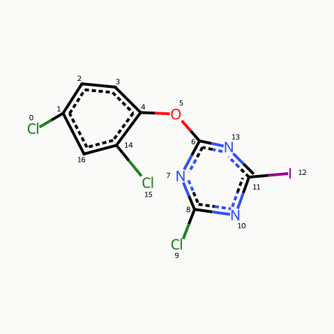 Clc1ccc(Oc2nc(Cl)nc(I)n2)c(Cl)c1